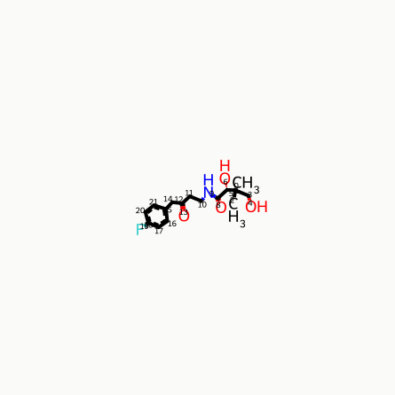 CC(C)(CO)[C@@H](O)C(=O)NCCC(=O)Cc1ccc(F)cc1